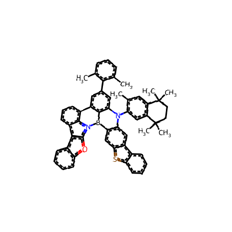 Cc1cc2c(cc1N1c3cc4c(cc3B3c5c(cc(-c6c(C)cccc6C)cc51)-c1cccc5c6c7ccccc7oc6n3c15)sc1ccccc14)C(C)(C)CCC2(C)C